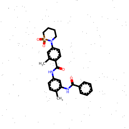 Cc1ccc(NC(=O)c2ccc(N3CCCCS3(=O)=O)cc2C)cc1NC(=O)c1ccccc1